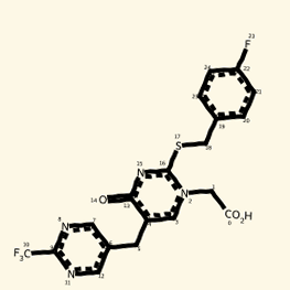 O=C(O)Cn1cc(Cc2cnc(C(F)(F)F)nc2)c(=O)nc1SCc1ccc(F)cc1